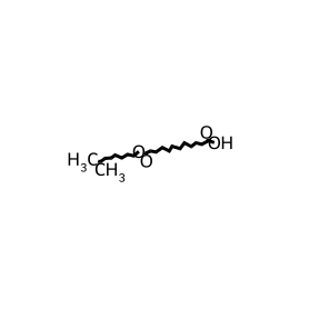 CC(C)CCCCCCOC(=O)CCCCCCCCCCC(=O)O